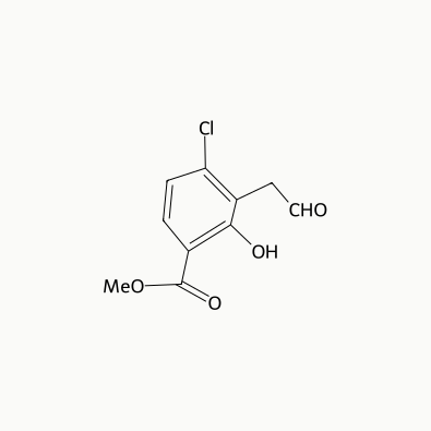 COC(=O)c1ccc(Cl)c(CC=O)c1O